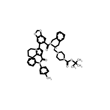 Cc1ccc(N(C(=O)c2cc(-c3cc4c(cc3C(=O)N3Cc5ccccc5C[C@H]3CN3CCN(C(=O)OC(C)(C)C)CC3)OCO4)n3c2CCCC3)c2ccccc2)cc1